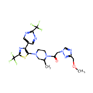 COCc1ncn(CC(=O)N2CCN(c3sc(C(F)(F)F)nc3-c3cnc(C(F)(F)F)nc3)CC2C)n1